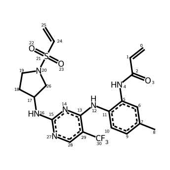 C=CC(=O)Nc1cc(C)ccc1Nc1nc(NC2CCN(S(=O)(=O)C=C)C2)ncc1C(F)(F)F